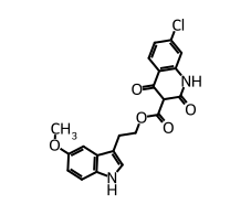 COc1ccc2[nH]cc(CCOC(=O)C3C(=O)Nc4cc(Cl)ccc4C3=O)c2c1